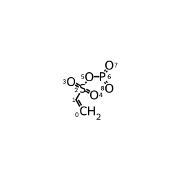 C=CS(=O)(=O)OP(=O)=O